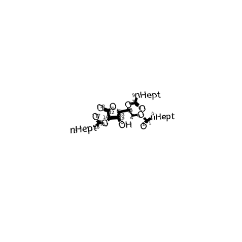 CCCCCCCC(=O)OC[C@H](OC(=O)CCCCCCC)[C@H]1OC(=O)C(OC(=O)CCCCCCC)=C1O